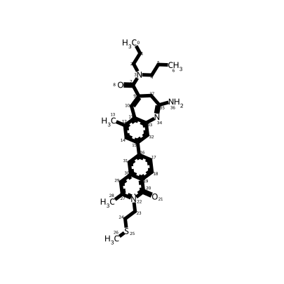 CCCN(CCC)C(=O)C1=Cc2c(C)cc(-c3ccc4c(=O)n(CCSC)c(C)cc4c3)cc2N=C(N)C1